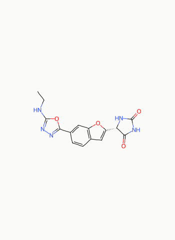 CCNc1nnc(-c2ccc3cc([C@@H]4NC(=O)NC4=O)oc3c2)o1